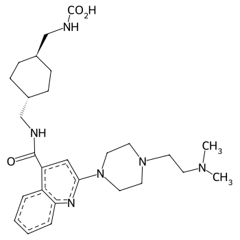 CN(C)CCN1CCN(c2cc(C(=O)NC[C@H]3CC[C@H](CNC(=O)O)CC3)c3ccccc3n2)CC1